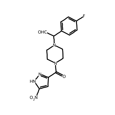 O=CC(c1ccc(F)cc1)N1CCN(C(=O)c2cc([N+](=O)[O-])[nH]n2)CC1